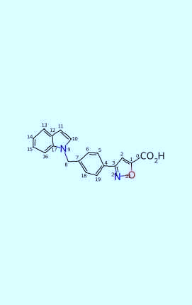 O=C(O)c1cc(-c2ccc(Cn3ccc4ccccc43)cc2)no1